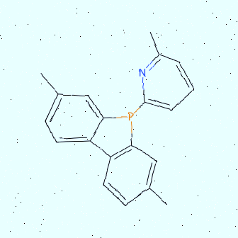 Cc1ccc2c3ccc(C)cc3p(-c3cccc(C)n3)c2c1